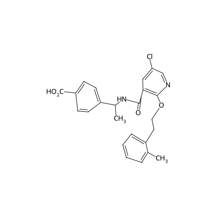 Cc1ccccc1CCOc1ncc(Cl)cc1C(=O)NC(C)c1ccc(C(=O)O)cc1